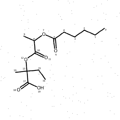 CCCCCC(=O)OC(C)C(=O)OC(C)(CC)C(=O)O